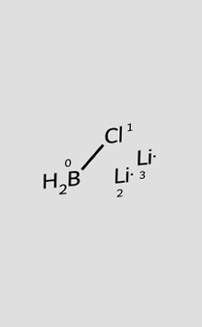 BCl.[Li].[Li]